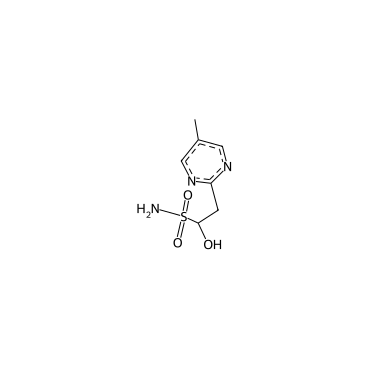 Cc1cnc(CC(O)S(N)(=O)=O)nc1